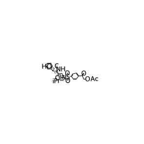 CC(=O)OCC(=O)c1ccc(S(=O)(=O)N(CC(C)C)C[C@H](O)[C@H](Cc2ccccc2)NC(=O)O)cc1